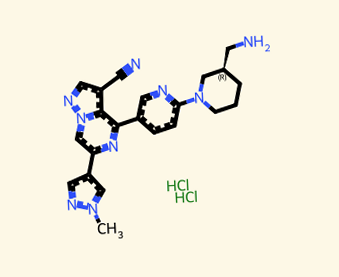 Cl.Cl.Cn1cc(-c2cn3ncc(C#N)c3c(-c3ccc(N4CCC[C@H](CN)C4)nc3)n2)cn1